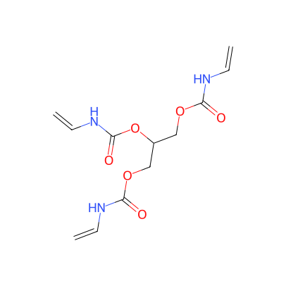 C=CNC(=O)OCC(COC(=O)NC=C)OC(=O)NC=C